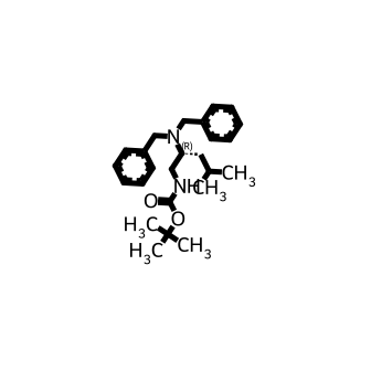 CC(C)C[C@H](CNC(=O)OC(C)(C)C)N(Cc1ccccc1)Cc1ccccc1